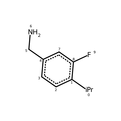 CC(C)c1ccc(CN)cc1F